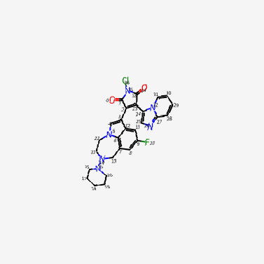 O=C1C(c2cn3c4c(cc(F)cc24)CN(N2CCCCC2)CC3)=C(c2cnc3ccccn23)C(=O)N1Cl